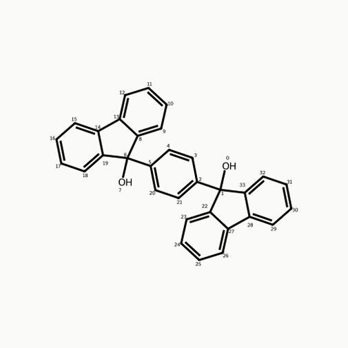 OC1(c2ccc(C3(O)c4ccccc4-c4ccccc43)cc2)c2ccccc2-c2ccccc21